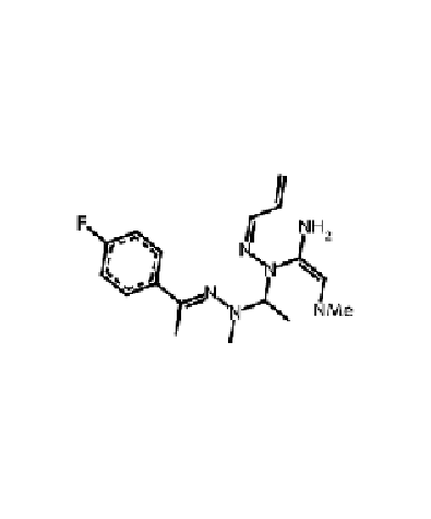 C=C/C=N\N(/C(N)=C\NC)C(C)N(C)/N=C(\C)c1ccc(F)cc1